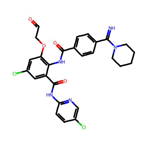 N=C(c1ccc(C(=O)Nc2c(OCC=O)cc(Cl)cc2C(=O)Nc2ccc(Cl)cn2)cc1)N1CCCCC1